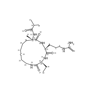 C=C(N)NCCC[C@@H]1NC(=O)[C@@](C)(NC(=O)C(C)C)CCCCCCNC(=O)[C@H](CC)NC1=O